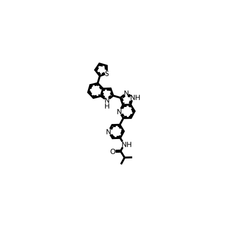 CC(C)C(=O)Nc1cncc(-c2ccc3[nH]nc(-c4cc5c(-c6cccs6)cccc5[nH]4)c3n2)c1